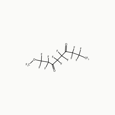 O=C(C(F)(F)C(F)(F)OC(F)(F)F)C(F)(F)C(F)(F)C(=O)C(F)(F)C(F)(F)C(F)(F)F